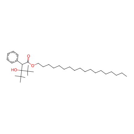 CCCCCCCCCCCCCCCCCCOC(=O)C(c1ccccc1)C(O)(C(C)(C)C)C(C)(C)C